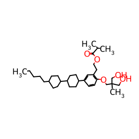 CCCCCC1CCC(C2CCC(c3ccc(OCC(C)(CO)CO)c(CCOC(=O)C(C)C)c3)CC2)CC1